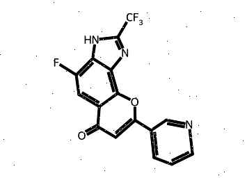 O=c1cc(-c2cccnc2)oc2c1cc(F)c1[nH]c(C(F)(F)F)nc12